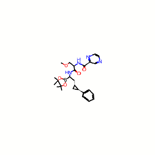 COCC(NC(=O)c1cnccn1)C(=O)NC(C[C@H]1C[C@@H]1c1ccccc1)B1OC(C)(C)C(C)(C)O1